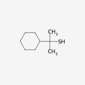 CC(C)(S)C1CCCCC1